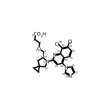 O=C(O)CCOC[C@@H]1CC2(CC2)CN1c1cc(-n2ccnc2)c2ccc(Cl)c(Cl)c2n1